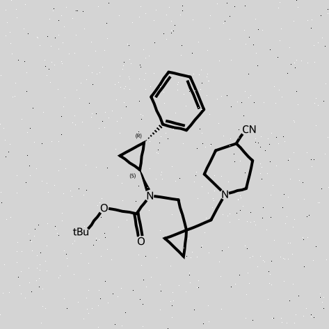 CC(C)(C)OC(=O)N(CC1(CN2CCC(C#N)CC2)CC1)[C@H]1C[C@@H]1c1ccccc1